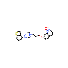 [O-][n+]1cccc2ccc(OCCCN3CCN(c4cccc5sccc45)CC3)cc21